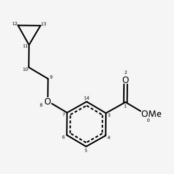 COC(=O)c1cccc(OCCC2CC2)c1